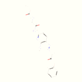 CC(C)(C)OC(=O)NCC(=O)Nc1ccc(/N=N/CC(=O)Oc2ccccc2)c(N)n1